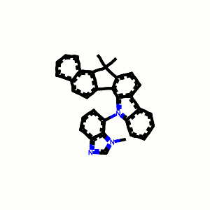 Cn1cnc2cccc(-n3c4ccccc4c4ccc5c(c43)-c3ccc4ccccc4c3C5(C)C)c21